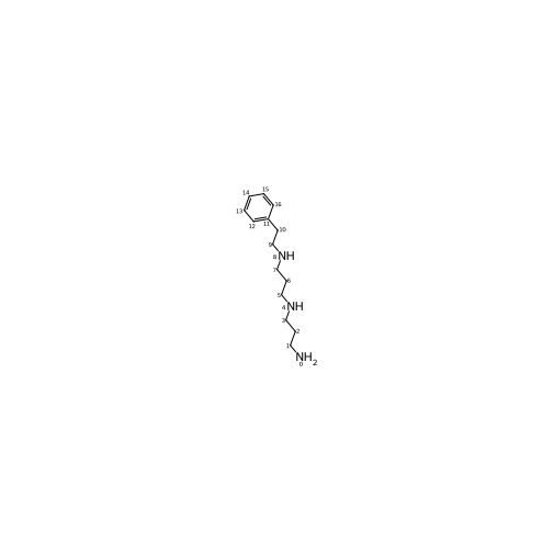 NCCCNCCCNCCc1ccccc1